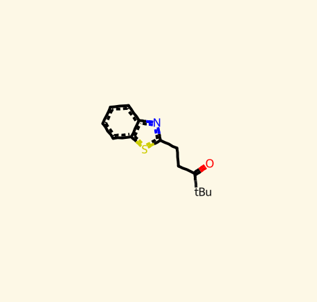 CC(C)(C)C(=O)CCc1nc2ccccc2s1